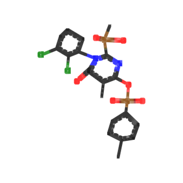 Cc1ccc(S(=O)(=O)Oc2nc(S(C)(=O)=O)n(-c3cccc(Cl)c3Cl)c(=O)c2C)cc1